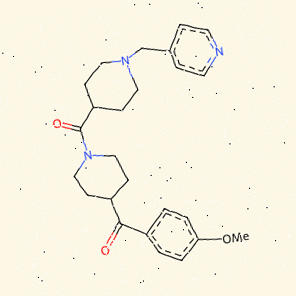 COc1ccc(C(=O)C2CCN(C(=O)C3CCN(Cc4ccncc4)CC3)CC2)cc1